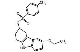 CCOc1ccc2[nH]c3c(c2c1)CC(OS(=O)(=O)c1ccc(C)cc1)CC3